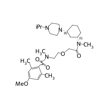 COc1cc(C)c(S(=O)(=O)N(C)CCOCC(=O)N(C)[C@H]2CCC[C@@H](N3CCN(C(C)C)CC3)C2)c(C)c1